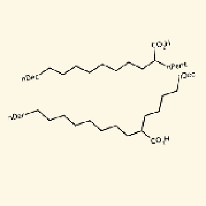 CCCCCCCCCCCCCCCCCCC(CCCCC)C(=O)O.CCCCCCCCCCCCCCCCCCC(CCCCCCCCCCCCCC)C(=O)O